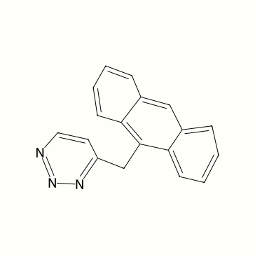 c1ccc2c(Cc3ccnnn3)c3ccccc3cc2c1